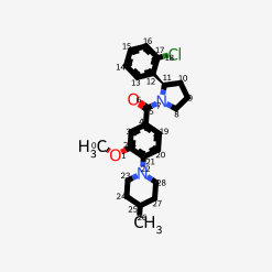 COc1cc(C(=O)N2CCC[C@@H]2c2ccccc2Cl)ccc1N1CCC(C)CC1